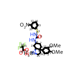 COc1ccc(C23CCC(NC(=O)NSc4cccc([N+](=O)[O-])c4)CC2N(C)CC3)cc1OC.O=C(O)C(F)(F)F